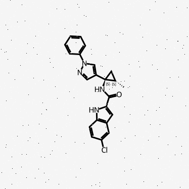 C[C@H]1C[C@@]1(NC(=O)c1cc2cc(Cl)ccc2[nH]1)c1cnn(-c2ccccc2)c1